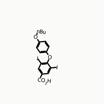 CCCCOc1ccc(Oc2c(I)cc(C(=O)O)cc2I)cc1